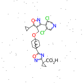 O=C(O)C1(c2noc(C34CCC(OCc5c(-c6c(Cl)cncc6Cl)noc5C5CC5)(CC3)CC4)n2)CC1